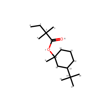 CCC(C)(C)C(=O)OC1(C)CCCC(C(C)(C)C)C1